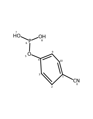 N#Cc1ccc(OP(O)O)cc1